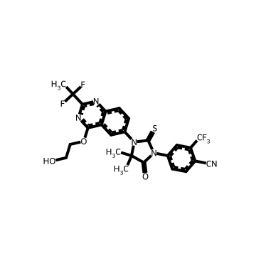 CC(F)(F)c1nc(OCCO)c2cc(N3C(=S)N(c4ccc(C#N)c(C(F)(F)F)c4)C(=O)C3(C)C)ccc2n1